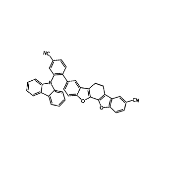 N#Cc1ccc(-c2ccc3oc4c(c3c2)CCc2c-4oc3ccc(C#N)cc23)c(-n2c3ccccc3c3ccccc32)c1